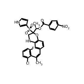 CC(=Cc1ccc2c(c1)NCC([C@@H](C)OC(=O)c1ccc([N+](=O)[O-])cc1)(S(=O)(=O)c1cc[nH]c1)O2)c1c(F)cccc1Cl